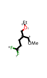 CCOCC(CCC(F)F)COC